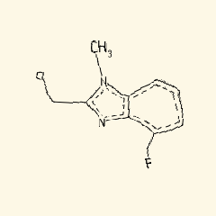 Cn1c(CCl)nc2c(F)cccc21